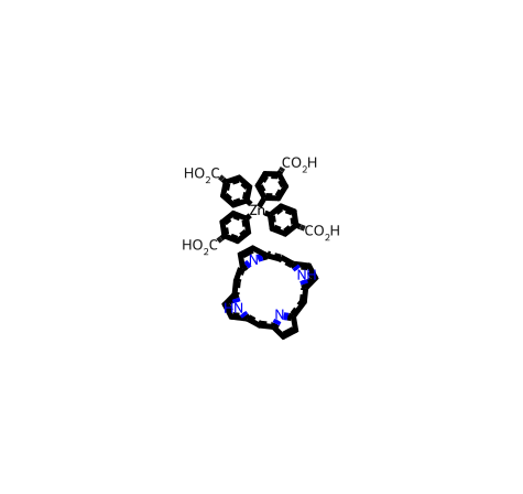 C1=Cc2cc3ccc(cc4nc(cc5ccc(cc1n2)[nH]5)C=C4)[nH]3.O=C(O)c1cc[c]([Zn]([c]2ccc(C(=O)O)cc2)([c]2ccc(C(=O)O)cc2)[c]2ccc(C(=O)O)cc2)cc1